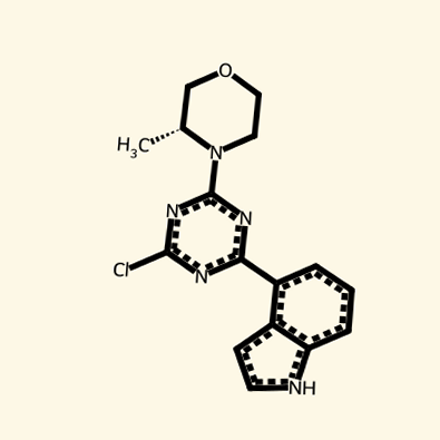 C[C@@H]1COCCN1c1nc(Cl)nc(-c2cccc3[nH]ccc23)n1